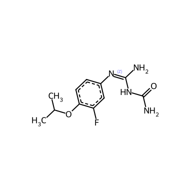 CC(C)Oc1ccc(/N=C(/N)NC(N)=O)cc1F